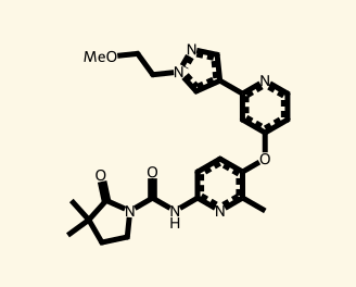 COCCn1cc(-c2cc(Oc3ccc(NC(=O)N4CCC(C)(C)C4=O)nc3C)ccn2)cn1